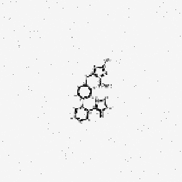 CCCCCn1nc(C(C)C)nc1Cc1ccc(-c2cnccc2-c2nnn[nH]2)cc1